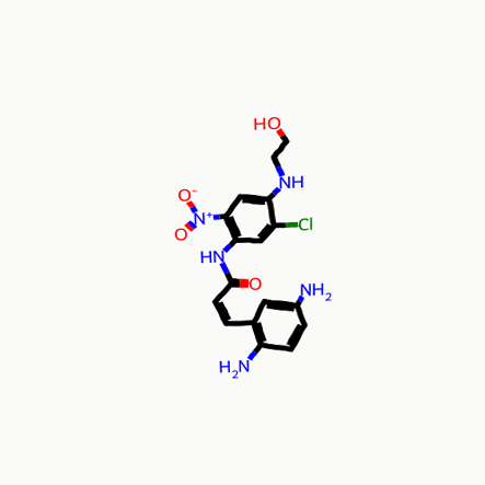 Nc1ccc(N)c(/C=C\C(=O)Nc2cc(Cl)c(NCCO)cc2[N+](=O)[O-])c1